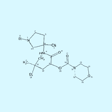 CCN1CCC(C#N)(NC(=O)C(CC(C)(C)CC)OC(=O)N2CCOCC2)C1